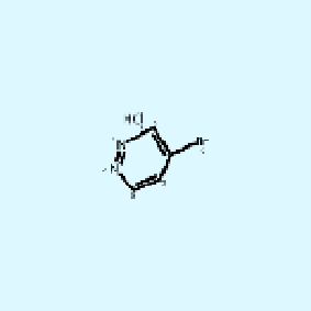 Brc1ccnnc1.Cl